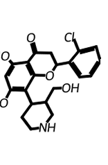 O=C1CC(c2ccccc2Cl)Oc2c1c(O)cc(O)c2C1CCNCC1CO